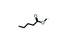 [CH]OC(=O)CCCC